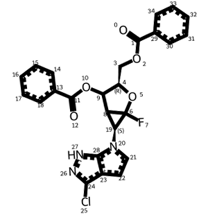 O=C(OC[C@H]1OC2(F)C(C1OC(=O)c1ccccc1)[C@@H]2n1ccc2c(Cl)n[nH]c21)c1ccccc1